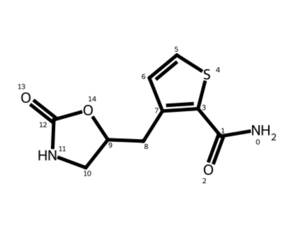 NC(=O)c1sccc1CC1CNC(=O)O1